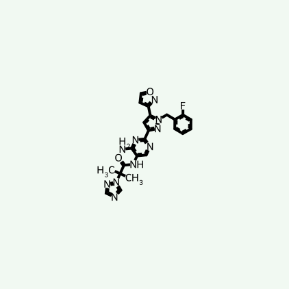 CC(C)(C(=O)Nc1cnc(-c2cc(-c3ccon3)n(Cc3ccccc3F)n2)nc1N)n1cncn1